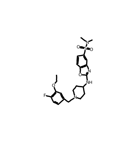 CCOc1cc(CN2CCC(Nc3nc4cc(S(=O)(=O)N(C)C)ccc4o3)CC2)ccc1F